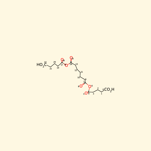 O=C(O)CCCC(=O)OC(=O)CCCCCC(=O)OC(=O)CCCC(=O)O